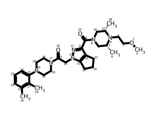 COCCN1[C@H](C)CN(C(=O)c2nn(CC(=O)N3CCN(c4cccc(C)c4C)CC3)c3c2CCC3)C[C@@H]1C